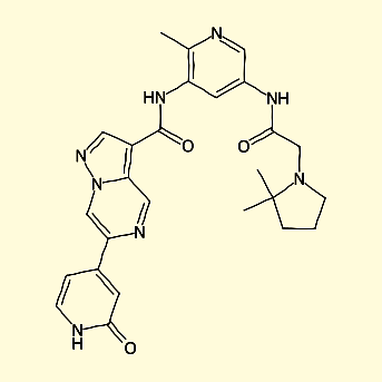 Cc1ncc(NC(=O)CN2CCCC2(C)C)cc1NC(=O)c1cnn2cc(-c3cc[nH]c(=O)c3)ncc12